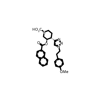 COc1ccc(CCn2cc([C@H]3CCN(C(=O)O)C[C@@H]3OC(=O)c3ccc4ccccc4c3)nn2)cc1